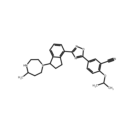 CC1CCN(C2CCc3c(-c4noc(-c5ccc(OC(C)C)c(C#N)c5)n4)cccc32)CCN1